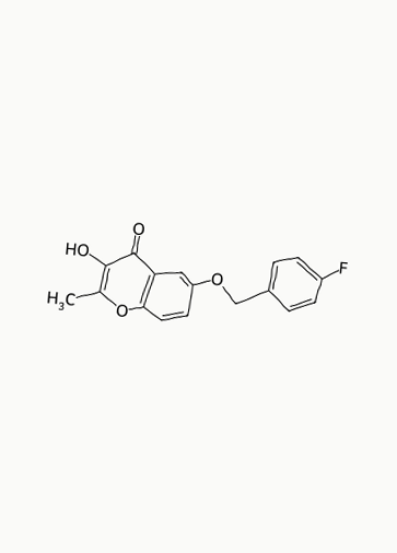 Cc1oc2ccc(OCc3ccc(F)cc3)cc2c(=O)c1O